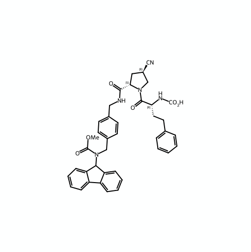 COC(=O)N(Cc1ccc(CNC(=O)[C@@H]2C[C@@H](C#N)CN2C(=O)[C@@H](CCc2ccccc2)NC(=O)O)cc1)C1c2ccccc2-c2ccccc21